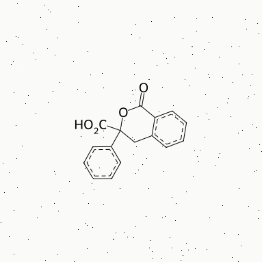 O=C1OC(C(=O)O)(c2ccccc2)Cc2ccccc21